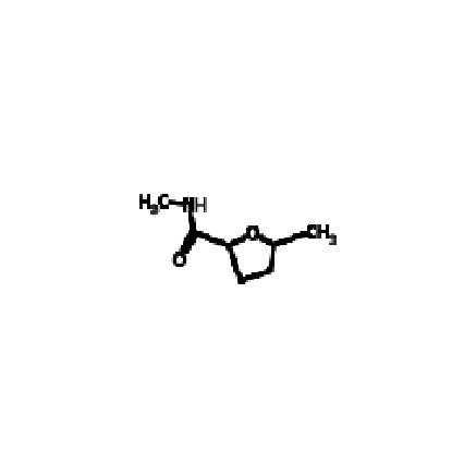 CNC(=O)C1CCC(C)O1